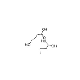 CCCC(O)O.O=C(O)CCCO